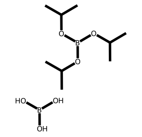 CC(C)OB(OC(C)C)OC(C)C.OB(O)O